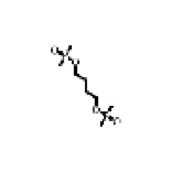 CP(C)(=O)OCCCCOP(C)(C)=O